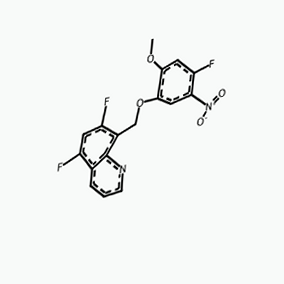 COc1cc(F)c([N+](=O)[O-])cc1OCc1c(F)cc(F)c2cccnc12